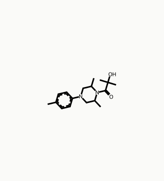 Cc1ccc(N2CC(C)N(C(=O)C(C)(C)O)C(C)C2)cc1